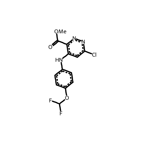 COC(=O)c1nnc(Cl)cc1Nc1ccc(OC(F)F)cc1